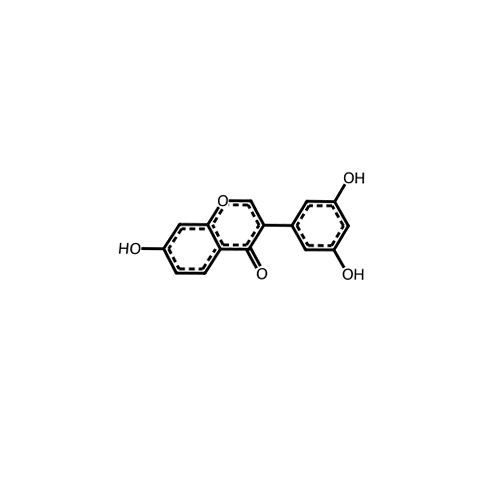 O=c1c(-c2cc(O)cc(O)c2)coc2cc(O)ccc12